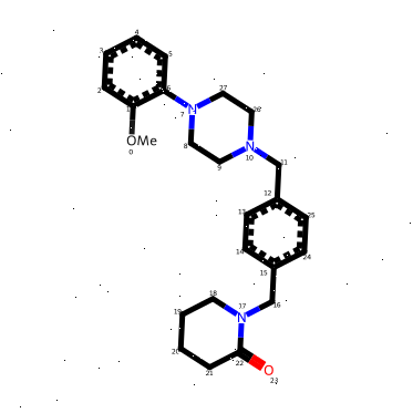 COc1ccccc1N1CCN(Cc2ccc(CN3CCCCC3=O)cc2)CC1